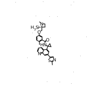 Cc1ncc(-c2cc(C3(NC(=O)c4cc(OC[C@@]5([SiH3])CCN5C)ccc4C)CC3)c3cccnc3c2)s1